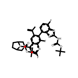 C=C(C)c1cc2c(N3CC4CCC(C3)N4C(=O)OC(C)(C)C)nc(F)nc2c(F)c1-c1ccc(F)c2sc(NC(=O)OC(C)(C)C)nc12